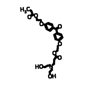 CCC(=O)OCCOc1ccc(C(=O)c2ccc(OCCOC(=O)CCN(CCO)CCO)cc2)cc1